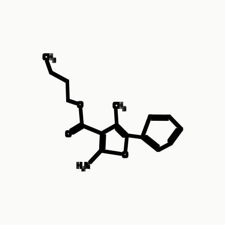 CCCCOC(=O)c1c(N)oc(-c2ccccc2)c1C